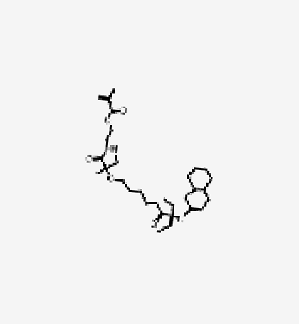 C=C(C)C(=O)OCCNC(=O)C(C)(CC)OCCCCCC(=O)C(CC)(CC)OC1CCC2CCCCC2C1